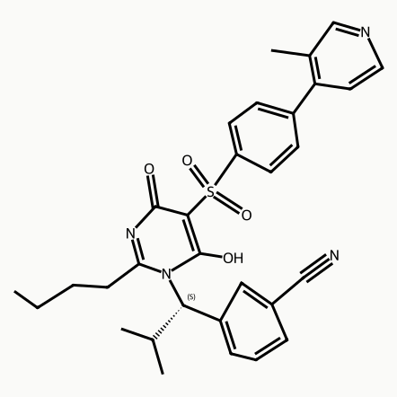 CCCCc1nc(=O)c(S(=O)(=O)c2ccc(-c3ccncc3C)cc2)c(O)n1[C@H](c1cccc(C#N)c1)C(C)C